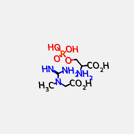 CN(CC(=O)O)C(=N)N.NC(COP(=O)(O)O)C(=O)O